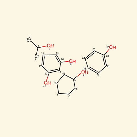 CCC(O)CC.OC1CCCCC1.Oc1cccc(O)c1.Oc1ccccc1